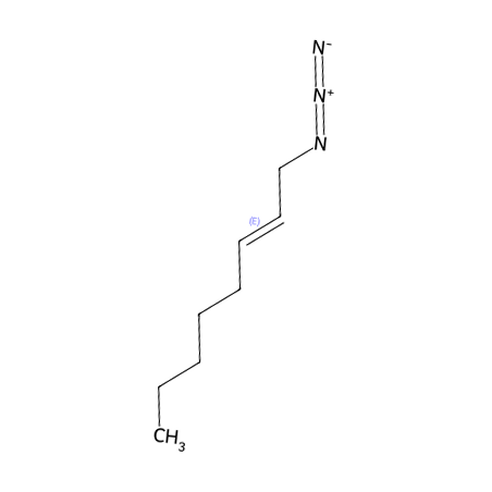 CCCCC/C=C/CN=[N+]=[N-]